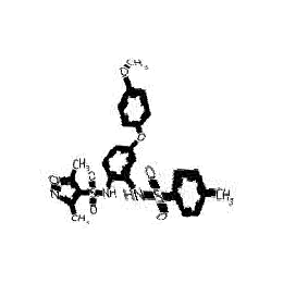 COc1ccc(Oc2ccc(NS(=O)(=O)c3c(C)noc3C)c(NS(=O)(=O)c3ccc(C)cc3)c2)cc1